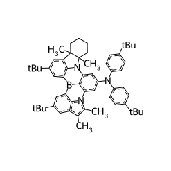 Cc1c(C)n2c3c(cc(C(C)(C)C)cc13)B1c3cc(C(C)(C)C)cc4c3N(c3cc(N(c5ccc(C(C)(C)C)cc5)c5ccc(C(C)(C)C)cc5)cc-2c31)C1(C)CCCCC41C